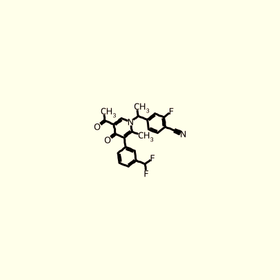 CC(=O)c1cn(C(C)c2ccc(C#N)c(F)c2)c(C)c(-c2cccc(C(F)F)c2)c1=O